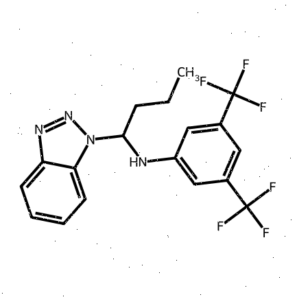 CCCC(Nc1cc(C(F)(F)F)cc(C(F)(F)F)c1)n1nnc2ccccc21